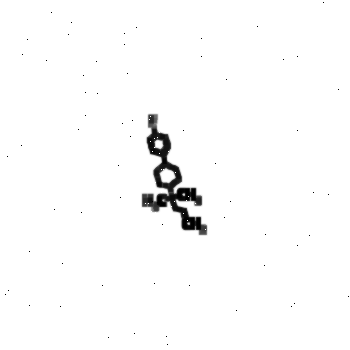 C=CCC(C)(C)C1CCC(c2ccc(F)cc2)CC1